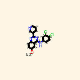 CCOc1ccc2nc(-c3cccnc3)nc(Nc3ccc(Cl)c(Cl)c3)c2c1